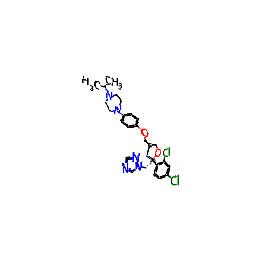 CC(C)N1CCN(c2ccc(OC[C@H]3CO[C@@](Cn4cncn4)(c4ccc(Cl)cc4Cl)C3)cc2)CC1